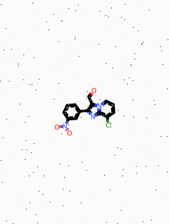 O=Cc1c(-c2cccc([N+](=O)[O-])c2)nc2c(Cl)cccn12